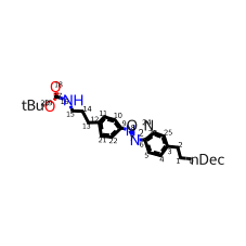 CCCCCCCCCCCCc1ccc(N=Nc2ccc(CCCNC(=O)OC(C)(C)C)cc2)c([N+](=O)[O-])c1